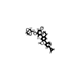 COc1cc2c(cc1-c1ccc(C3CC3)nc1)CCn1c-2c(C)c(OC[C@@H]2COCCO2)cc1=O